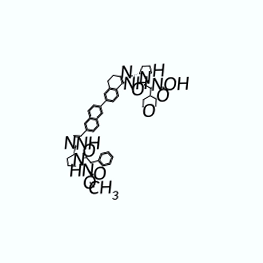 COC(=O)N[C@@H](C(=O)N1CCC[C@H]1c1ncc(-c2ccc3cc(-c4ccc5c(c4)CCc4nc([C@@H]6CCCN6C(=O)[C@@H](NC(=O)O)C6CCOCC6)[nH]c4-5)ccc3c2)[nH]1)c1ccccc1